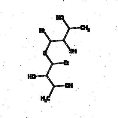 CCC(OC(CC)C(O)C(C)O)C(O)C(C)O